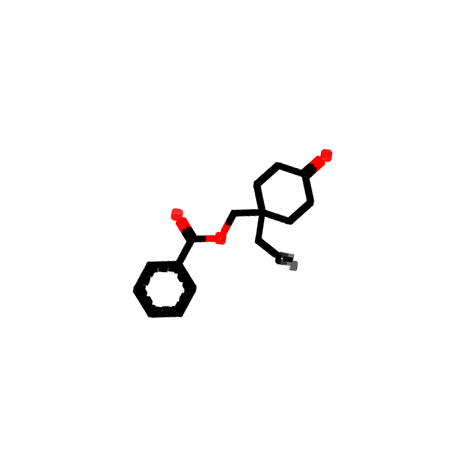 CCC1(COC(=O)c2ccccc2)CCC(=O)CC1